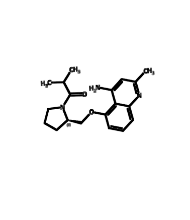 Cc1cc(N)c2c(OC[C@H]3CCCN3C(=O)C(C)C)cccc2n1